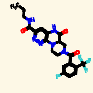 CCCNC(=O)c1cc2c(nn1)N1CCN(C(=O)c3cc(F)ccc3C(F)(F)F)CC1C(=O)N2